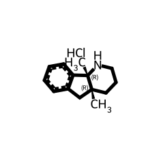 C[C@]12CCCN[C@@]1(C)c1ccccc1C2.Cl